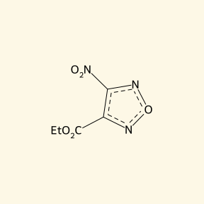 CCOC(=O)c1nonc1[N+](=O)[O-]